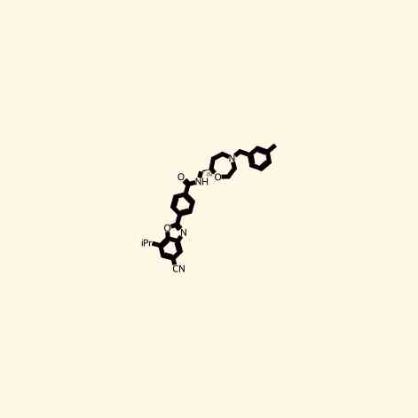 Cc1cccc(CN2CCO[C@H](CNC(=O)c3ccc(-c4nc5cc(C#N)cc(C(C)C)c5o4)cc3)CC2)c1